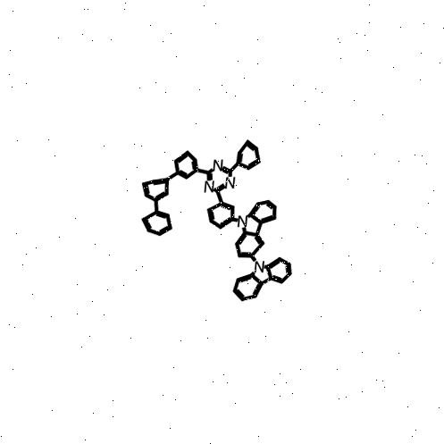 c1ccc(-c2cccc(-c3cccc(-c4nc(-c5ccccc5)nc(-c5cccc(-n6c7ccccc7c7cc(-n8c9ccccc9c9ccccc98)ccc76)c5)n4)c3)c2)cc1